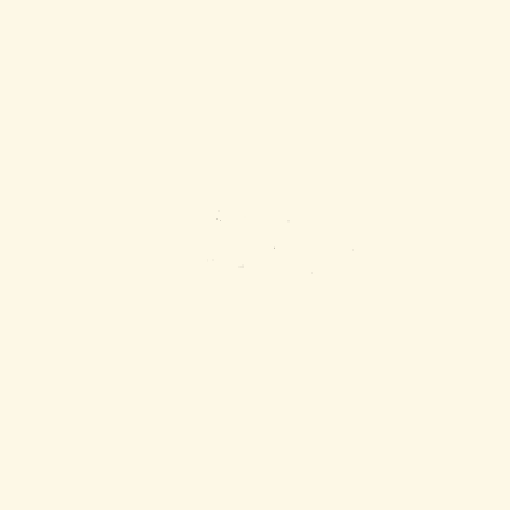 C=CCN1C=NC=C(c2ccc(O)c(F)c2)C1